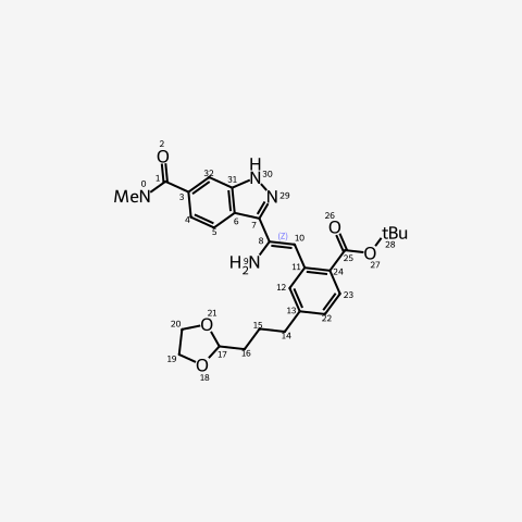 CNC(=O)c1ccc2c(/C(N)=C/c3cc(CCCC4OCCO4)ccc3C(=O)OC(C)(C)C)n[nH]c2c1